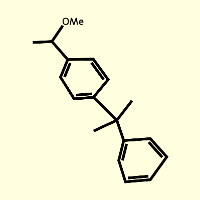 COC(C)c1ccc(C(C)(C)c2ccccc2)cc1